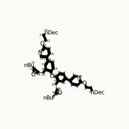 CCCCCCCCCCCCOc1ccc(-c2ccc(Oc3ccc(-c4ccc(OCCCCCCCCCCCC)nc4)cc3C[C@@H]3O[C@H]3CCCC)c(C[C@@H]3O[C@H]3CCCC)c2)cn1